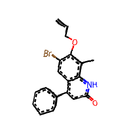 C=CCOc1c(Br)cc2c(-c3ccccc3)cc(=O)[nH]c2c1C